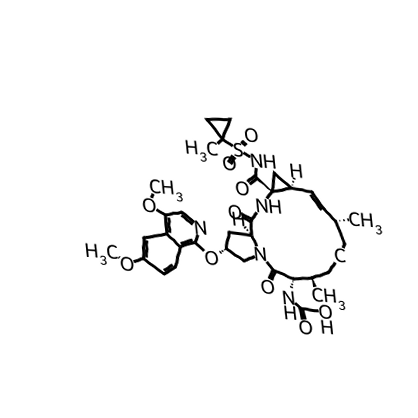 COc1ccc2c(O[C@@H]3C[C@H]4C(=O)N[C@]5(C(=O)NS(=O)(=O)C6(C)CC6)C[C@H]5C=C[C@H](C)CCC[C@@H](C)[C@H](NC(=O)O)C(=O)N4C3)ncc(OC)c2c1